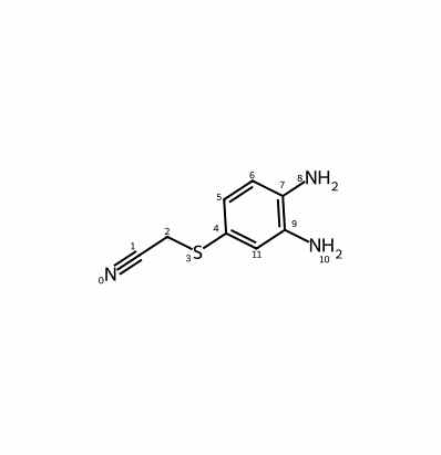 N#CCSc1ccc(N)c(N)c1